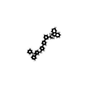 C1=CC2=c3ncc(-c4cccc(-c5ccc(-c6ccc(Cc7ccc8c(c7)c7ccccc7n8-c7ccccc7)cc6)cc5)c4)nc3=C3C=CC=CC3C2C=C1